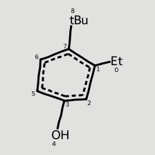 CCc1cc(O)ccc1C(C)(C)C